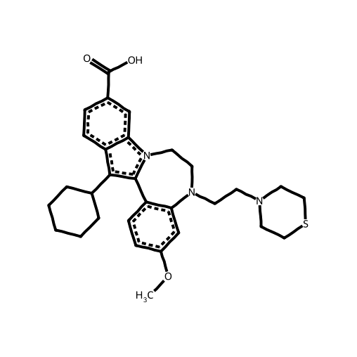 COc1ccc2c(c1)N(CCN1CCSCC1)CCn1c-2c(C2CCCCC2)c2ccc(C(=O)O)cc21